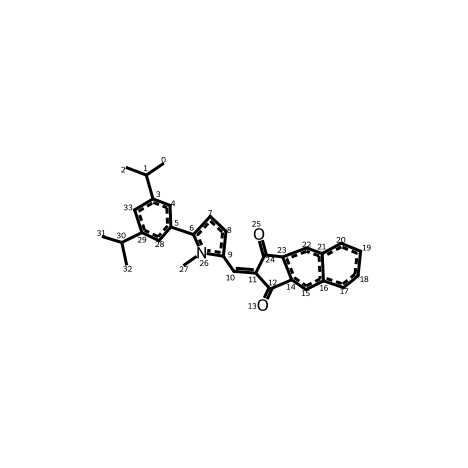 CC(C)c1cc(-c2ccc(C=C3C(=O)c4cc5ccccc5cc4C3=O)n2C)cc(C(C)C)c1